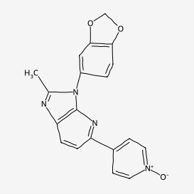 Cc1nc2ccc(-c3cc[n+]([O-])cc3)nc2n1-c1ccc2c(c1)OCO2